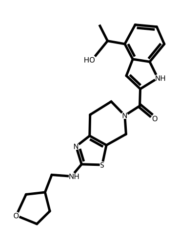 CC(O)c1cccc2[nH]c(C(=O)N3CCc4nc(NCC5CCOC5)sc4C3)cc12